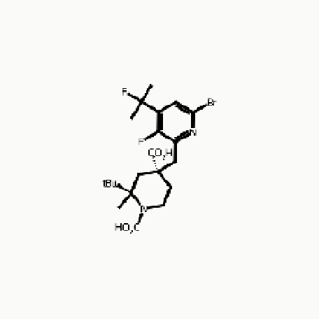 CC(C)(F)c1cc(Br)nc(C[C@@]2(C(=O)O)CCN(C(=O)O)[C@@](C)(C(C)(C)C)C2)c1F